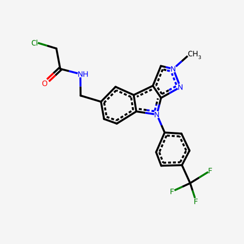 Cn1cc2c3cc(CNC(=O)CCl)ccc3n(-c3ccc(C(F)(F)F)cc3)c2n1